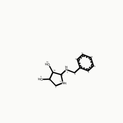 OC1CNC(NCc2ccccc2)C1O